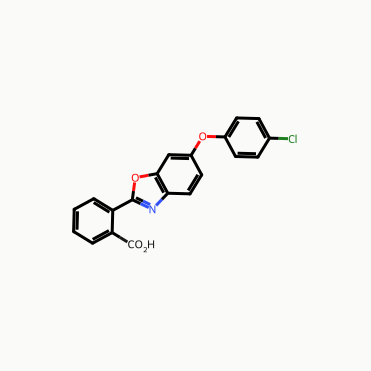 O=C(O)c1ccccc1-c1nc2ccc(Oc3ccc(Cl)cc3)cc2o1